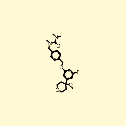 COC1(c2cc(F)cc(OCc3ccc(CN(C)C(=O)N(C)C)cc3)c2)CCOCC1